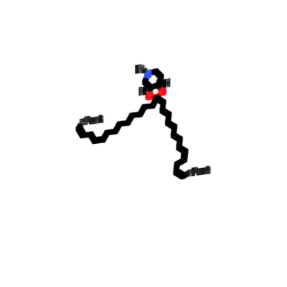 CCCCC/C=C\C/C=C\CCCCCCCCC1(CCCCCCCC/C=C\C/C=C\CCCCC)O[C@H]2CCN(CC)C[C@@H]2O1